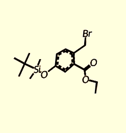 CCOC(=O)c1cc(O[Si](C)(C)C(C)(C)C)ccc1CBr